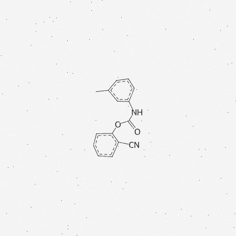 Cc1cccc(NC(=O)Oc2ccccc2C#N)c1